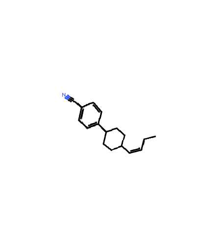 CC/C=C\C1CCC(c2ccc(C#N)cc2)CC1